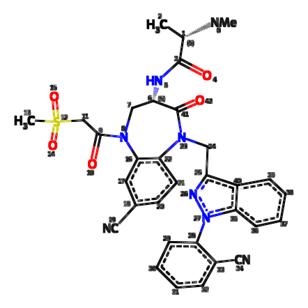 CN[C@@H](C)C(=O)N[C@H]1CN(C(=O)CS(C)(=O)=O)c2cc(C#N)ccc2N(Cc2nn(-c3ccccc3C#N)c3ccccc23)C1=O